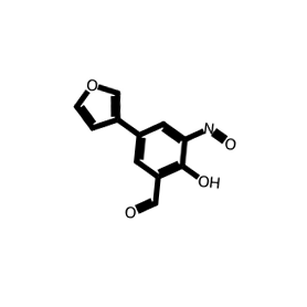 O=Cc1cc(-c2ccoc2)cc(N=O)c1O